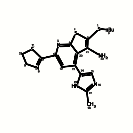 CCCCSc1sc2nc(C3=NCCS3)cc(-c3cnc(C)[nH]3)c2c1N